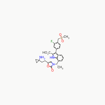 C[C@@H](c1cccc2c(-c3ccc(CS(C)(=O)=O)c(F)c3)c(C(=O)O)[nH]c12)n1cc(CCC2(N)CC2)oc1=O